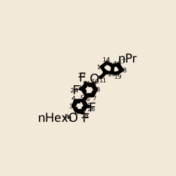 CCCCCCOc1ccc(-c2ccc(OCC3CCC4C(CCC)=CCC34)c(F)c2F)c(F)c1F